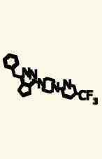 FC(F)(F)C1C=CC(N2CCN(c3nnc(Cc4ccccc4)c4c3C=CC4)CC2)=NC1